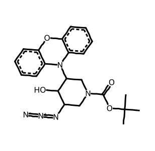 CC(C)(C)OC(=O)N1CC(N=[N+]=[N-])C(O)C(N2c3ccccc3Oc3ccccc32)C1